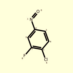 O=Nc1ccc(Cl)c(F)c1